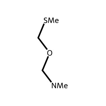 CNCOCSC